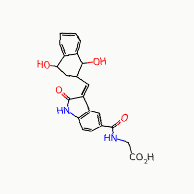 O=C(O)CNC(=O)c1ccc2c(c1)C(=CC1CC(O)c3ccccc3C1O)C(=O)N2